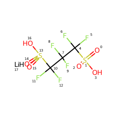 O=S(=O)(O)C(F)(F)C(F)(F)C(F)(F)S(=O)(=O)O.[LiH]